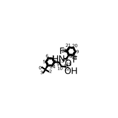 CC(C)(C)c1cccc(C(CCO)NC(=O)c2c(F)cccc2F)c1